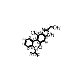 OCc1nc2c(Cl)c(-c3ccccc3OC(F)F)c(Cl)cc2[nH]1